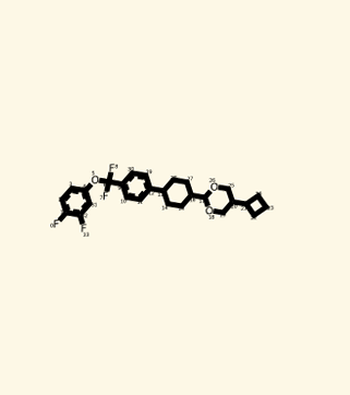 Fc1ccc(OC(F)(F)c2ccc(C3CCC(C4OCC(C5CCC5)CO4)CC3)cc2)cc1F